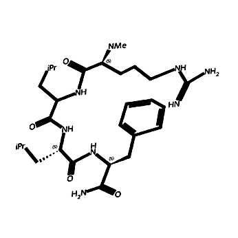 CN[C@@H](CCCNC(=N)N)C(=O)NC(CC(C)C)C(=O)N[C@@H](CC(C)C)C(=O)N[C@@H](Cc1ccccc1)C(N)=O